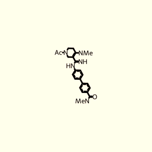 CNC(=O)c1ccc(-c2ccc(NC(=N)C3=C(NC)CCN(C(C)=O)C3)cc2)cc1